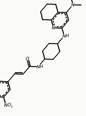 CN(C)c1cc(NC2CCC(NC(=O)/C=C/c3cccc([N+](=O)[O-])c3)CC2)nc2c1CCCC2